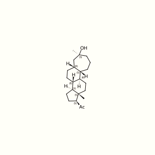 CC(=O)[C@H]1CC[C@H]2[C@@H]3CC[C@@H]4C[C@@](C)(O)CCC[C@@H]4[C@H]3CC[C@]12C